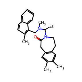 CCC(N(C)Cc1c(C)ccc2ccccc12)N1CCc2cc(C)c(C)cc2CC1=O